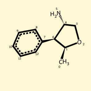 C[C@@H]1OC[C@@H](N)[C@@H]1c1ccccc1